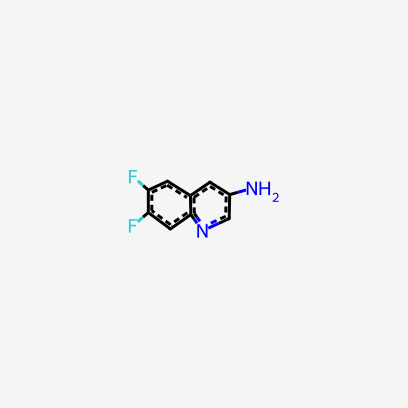 Nc1cnc2cc(F)c(F)cc2c1